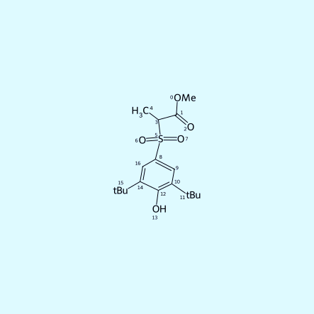 COC(=O)C(C)S(=O)(=O)c1cc(C(C)(C)C)c(O)c(C(C)(C)C)c1